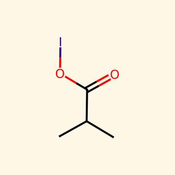 CC(C)C(=O)OI